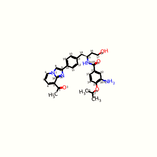 CC(=O)c1cccn2cc(-c3ccc(C[C@@H](CCO)NC(=O)c4ccc(OC(C)C)c(N)c4)cc3)nc12